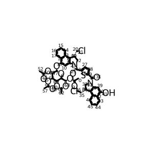 CC(=O)OCC1OC(Oc2cc3c(c4ccccc24)[C@H](CCl)CN3C(=O)c2ccc(C(=O)N3C[C@@H](CCl)c4c3cc(O)c3ccccc43)s2)[C@@H](OC(C)=O)C(OC(C)=O)[C@H]1OC(C)=O